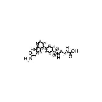 NC(=O)Cc1cc2c(-c3ccc(S(=O)(=O)NCCNC(=O)O)cc3)ccnc2[nH]1